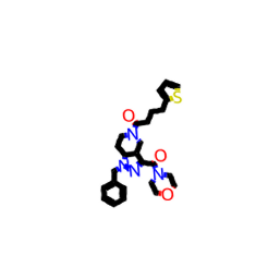 O=C(CCCc1cccs1)N1CCC2C(C1)C(C(=O)N1CCOCC1)=NN2Cc1ccccc1